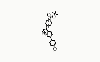 COc1ccc(-c2ccc3c(N4CCN(C(=O)OC(C)(C)C)CC4)cnn3c2)cc1